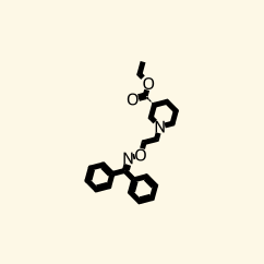 CCOC(=O)[C@@H]1CCCN(CCON=C(c2ccccc2)c2ccccc2)C1